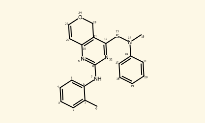 Cc1ccccc1Nc1nc2c(c(SN(C)c3ccccc3)n1)COC=C2